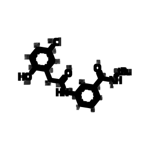 CC(C)(C)NC(=O)c1cccc(NC(=O)Cc2cc(Cl)ccc2O)c1